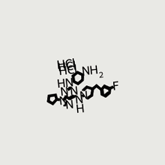 Cl.Cl.Cl.N[C@H]1CC[C@H](Nc2nc(NN3CCC(Cc4cccc(F)c4)CC3)c3ncn(C4CCCC4)c3n2)CC1